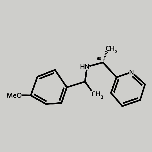 COc1ccc(C(C)N[C@H](C)c2ccccn2)cc1